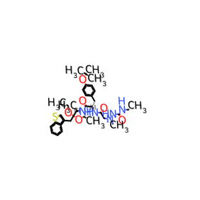 CCNC(=O)NN(C)CC(=O)N[C@@H](Cc1ccc(OC(C)(C)C)cc1)C(=O)N[C@@H](C)C(Cc1csc2ccccc12)(OCC)OCC